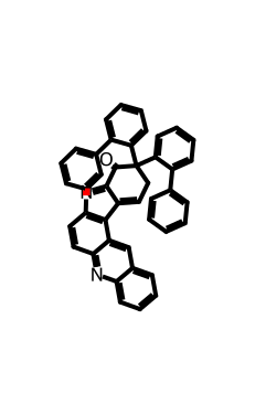 O=C1C2=Nc3ccc4nc5ccccc5cc4c3C2=CCC1(c1ccccc1-c1ccccc1)c1ccccc1-c1ccccc1